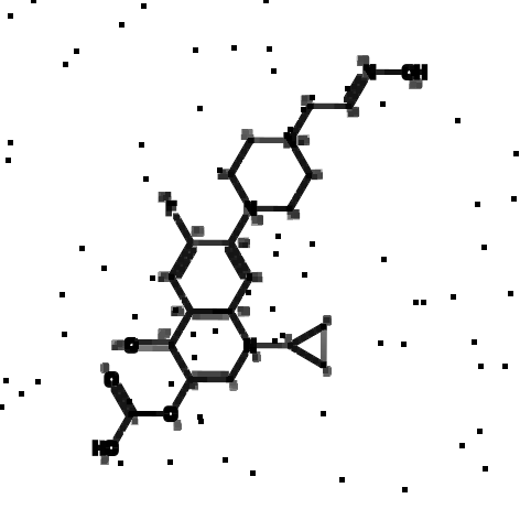 O=C(O)Oc1cn(C2CC2)c2cc(N3CCN(CC=NO)CC3)c(F)cc2c1=O